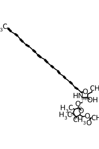 CC#CC#CC#CC#CC#CC#CC#CC#CC#CC#CC#CC#CC(=O)N[C@@H](CO[C@H]1OC(COC(C)=O)[C@H](C)[C@H](C)C1C)[C@H](O)CCC